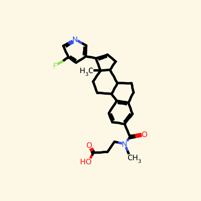 CN(CCC(=O)O)C(=O)c1ccc2c(c1)CCC1C2CCC2(C)C(c3cncc(F)c3)=CCC12